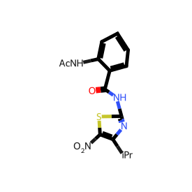 CC(=O)Nc1ccccc1C(=O)Nc1nc(C(C)C)c([N+](=O)[O-])s1